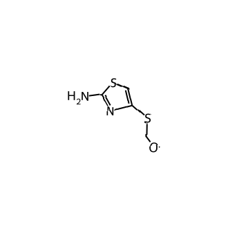 Nc1nc(SC[O])cs1